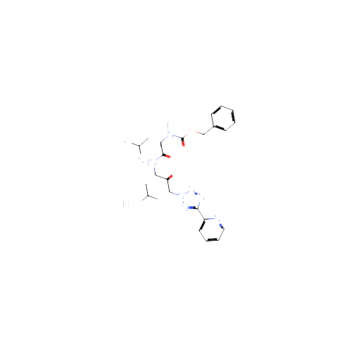 CC(C)C[C@H](NC(=O)[C@H](CC(C)C)NC(=O)OCc1ccccc1)C(=O)Cn1nnc(-c2ccccn2)n1